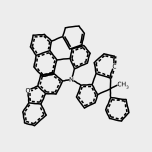 CC1(c2ccccc2)c2ccccc2-c2c(N(c3ccc4oc5ccccc5c4c3)c3ccccc3-c3cccc4cccc(C5=CC=CCC5)c34)cccc21